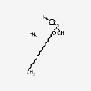 CCCCCCCCCCCCCCCCCCOC[C@H](CO)Oc1ccc(C#N)cn1.[H-].[Na+]